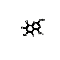 CSc1nc(N)c2c(F)c(C#N)c(F)c(Cl)c2n1